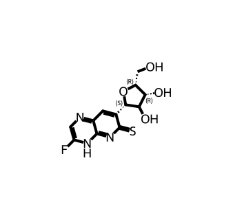 OC[C@H]1O[C@@H](c2cc3ncc(F)[nH]c-3nc2=S)C(O)[C@H]1O